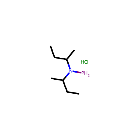 CCC(C)N(P)C(C)CC.Cl